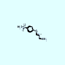 CS(=O)(=O)c1ccc(OC[C@H](F)CN)cc1